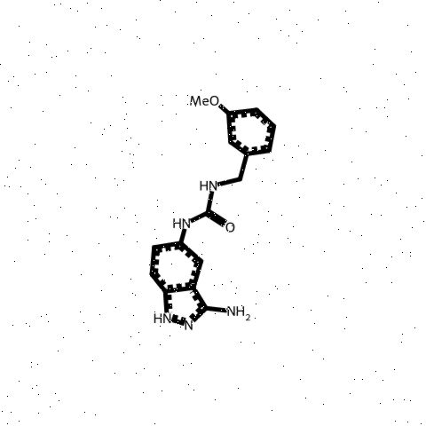 COc1cccc(CNC(=O)Nc2ccc3[nH]nc(N)c3c2)c1